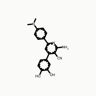 CN(C)c1ccc(-c2cc(-c3ccc(O)c(O)c3)c(C#N)c(N)n2)cc1